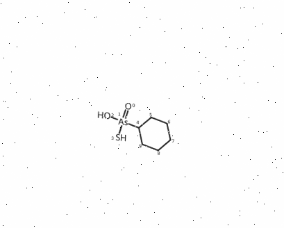 O=[As](O)(S)C1CCCCC1